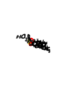 CC(=O)[C@H]1CC[C@H]2[C@@H]3CCC4CC5(CC[C@]4(C)[C@H]3CC[C@]12C)OSC(C(=O)O)O5